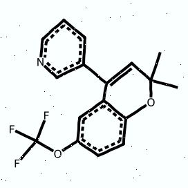 CC1(C)C=C(c2cccnc2)c2cc(OC(F)(F)F)ccc2O1